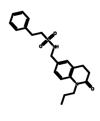 CCCN1C(=O)CCc2cc(CNS(=O)(=O)CCc3ccccc3)ccc21